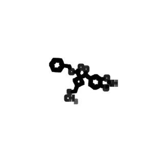 CSCC1CC(C(=O)OCc2ccccc2)(C(=O)c2ccc3c(c2)ONO3)C1